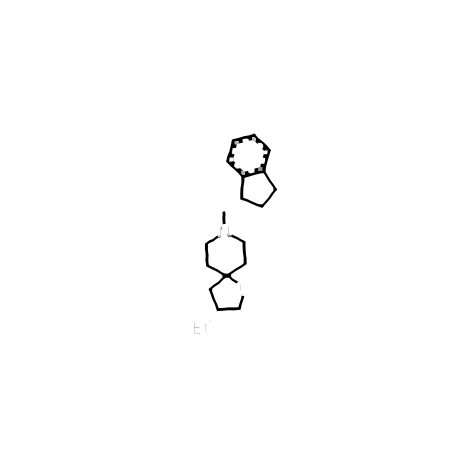 CC[C@H]1COC2(CCN(C[C@H]3CCc4ccccc43)CC2)C1